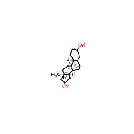 C[C@]12CC[C@@H]3[C@@H](CCC4CC(O)CC[C@@]43C)[C@@H]1CC(O)C2